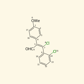 COc1ccc(C(C=O)=C(Cl)c2ccccc2Cl)cc1